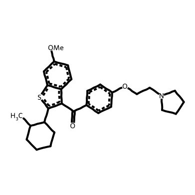 COc1ccc2c(C(=O)c3ccc(OCCN4CCCC4)cc3)c(C3CCCCC3C)sc2c1